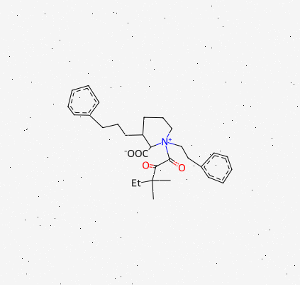 CCC(C)(C)C(=O)C(=O)[N+]1(CCc2ccccc2)CCCC(CCCc2ccccc2)C1C(=O)[O-]